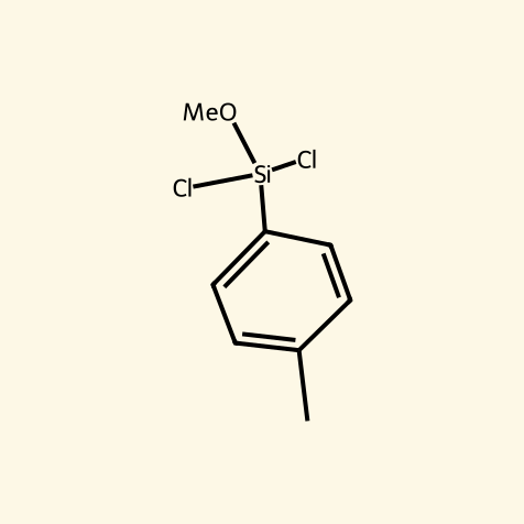 CO[Si](Cl)(Cl)c1ccc(C)cc1